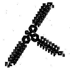 O=P(c1ccc(C(F)(F)C(F)(F)C(F)(F)C(F)(F)C(F)(F)C(F)(F)C(F)(F)C(F)(F)F)cc1)(c1ccc(C(F)(F)C(F)(F)C(F)(F)C(F)(F)C(F)(F)C(F)(F)C(F)(F)C(F)(F)F)cc1)c1ccc(C(F)(F)C(F)(F)C(F)(F)C(F)(F)C(F)(F)C(F)(F)C(F)(F)C(F)(F)F)cc1